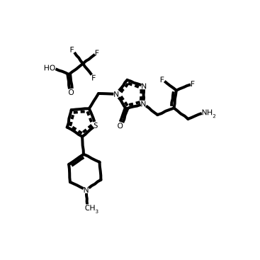 CN1CC=C(c2ccc(Cn3cnn(CC(CN)=C(F)F)c3=O)s2)CC1.O=C(O)C(F)(F)F